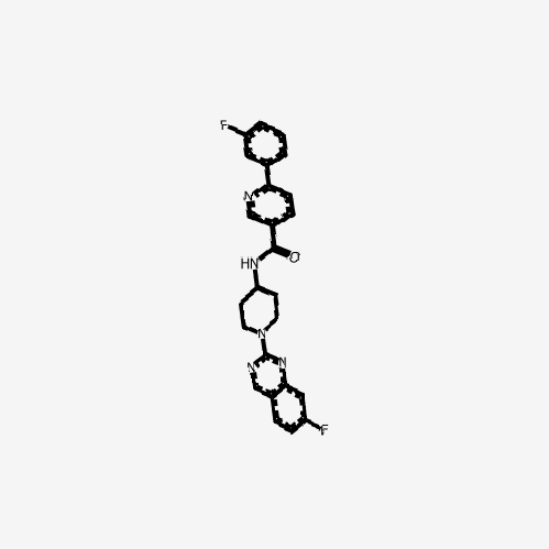 O=C(NC1CCN(c2ncc3ccc(F)cc3n2)CC1)c1ccc(-c2cccc(F)c2)nc1